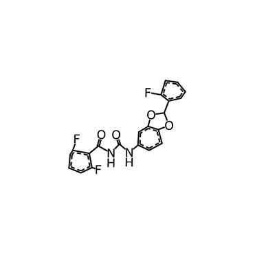 O=C(NC(=O)c1c(F)cccc1F)Nc1ccc2c(c1)OC(c1ccccc1F)O2